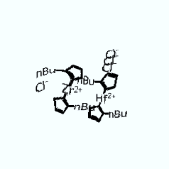 CCCCC1=[C]([Hf+2][C]2=C(CCCC)C=CC2)CC=C1.CCCCC1=[C]([Zr+2][C]2=C(CCCC)C=CC2)CC=C1.[Cl-].[Cl-].[Cl-].[Cl-]